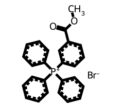 COC(=O)c1cccc([P+](c2ccccc2)(c2ccccc2)c2ccccc2)c1.[Br-]